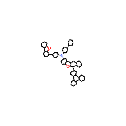 c1ccc(-c2ccc(N(c3ccc(-c4cccc5c4oc4ccccc45)cc3)c3ccc4oc5c(-c6ccc7c8ccccc8c8ccccc8c7c6)c6ccccc6cc5c4c3)cc2)cc1